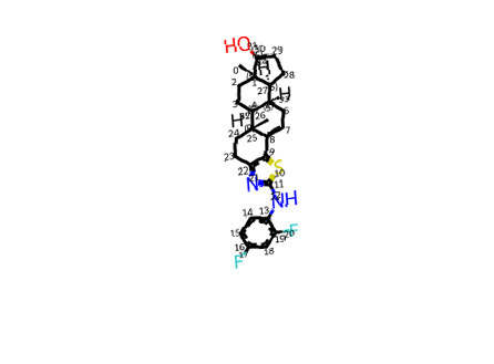 C[C@]12CC[C@H]3[C@@H](CC=C4c5sc(Nc6ccc(F)cc6F)nc5CC[C@@]43C)[C@@H]1CC[C@@H]2O